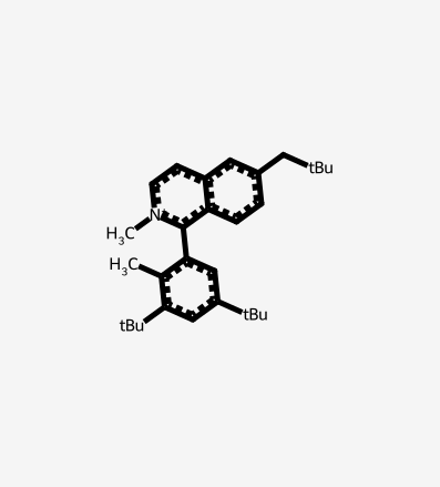 Cc1c(-c2c3ccc(CC(C)(C)C)cc3cc[n+]2C)cc(C(C)(C)C)cc1C(C)(C)C